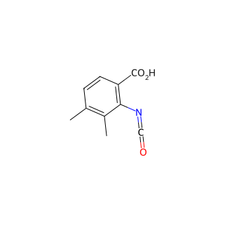 Cc1ccc(C(=O)O)c(N=C=O)c1C